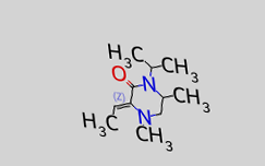 C/C=C1/C(=O)N(C(C)C)C(C)CN1C